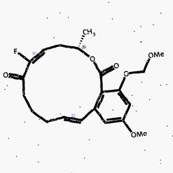 COCOc1cc(OC)cc2c1C(=O)O[C@@H](C)C/C=C(/F)C(=O)CCC/C=C/2